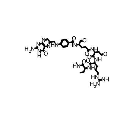 CCC(NC(=O)C(CCCNC(=N)N)NC(=O)C(CC=O)NC(=O)CCC(C=O)NC(=O)c1ccc(NCc2cnc3nc(N)[nH]c(=O)c3n2)cc1)C(=O)NC